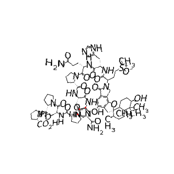 CC(C)C[C@H](NC(=O)[C@@H]1CCCN1C(=O)[C@H](CCC(N)=O)NC(=O)[C@H](Cc1cnc[nH]1)NC(=O)[C@@H]1CCCN1C(=O)[C@H](CCC(N)=O)NC(=O)[C@H](Cc1cnc[nH]1)NC(=O)C(CC[S+](C)[O-])N1Cc2c(cc(O)c3c2O[C@]2(C3)[C@H](C)CC[C@H]3C(C)(C)[C@H](O)CC[C@@]32C)C1=O)C(=O)N1CCC[C@H]1C(=O)N1CCC[C@H]1C(=O)O